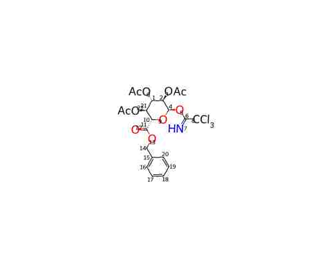 CC(=O)O[C@@H]1[C@@H](OC(C)=O)[C@@H](OC(=N)C(Cl)(Cl)Cl)O[C@H](C(=O)OCc2ccccc2)[C@H]1OC(C)=O